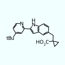 CC(C)(C)c1ccnc(-c2cc3cc(CC4(C(=O)O)CC4)ccc3[nH]2)c1